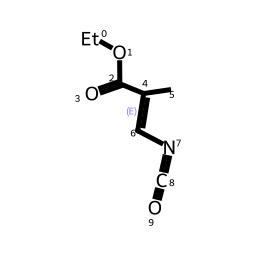 CCOC(=O)/C(C)=C/N=C=O